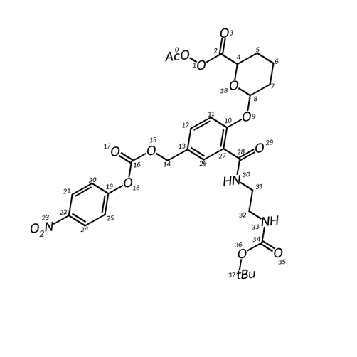 CC(=O)OOC(=O)C1CCCC(Oc2ccc(COC(=O)Oc3ccc([N+](=O)[O-])cc3)cc2C(=O)NCCNC(=O)OC(C)(C)C)O1